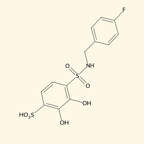 O=S(=O)(O)c1ccc(S(=O)(=O)NCc2ccc(F)cc2)c(O)c1O